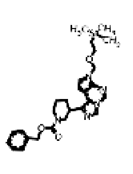 C[Si](C)(C)CCOCn1ccc2c1ncn1cnc(C3CCCN(C(=O)OCc4ccccc4)C3)c21